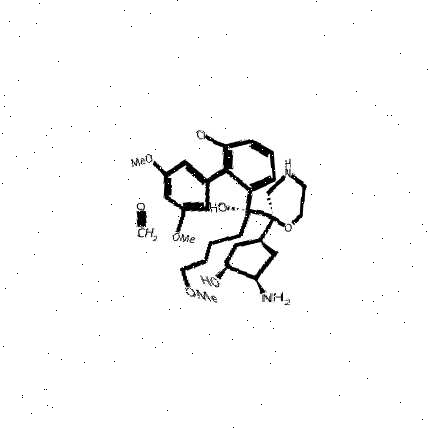 C=O.COCCCC[C@@](O)(c1cccc(Cl)c1-c1cc(OC)cc(OC)c1)[C@@]1([C@H]2C[C@@H](N)[C@@H](O)C2)CNCCO1